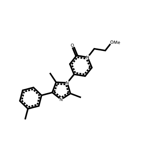 COCCn1ccc(-n2c(C)nc(-c3cccc(C)c3)c2C)cc1=O